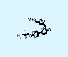 CSCc1cc(Cn2nc(-c3cnc(OCC(C)(F)F)nc3)ccc2=O)on1